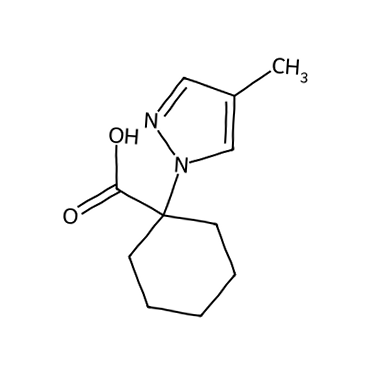 Cc1cnn(C2(C(=O)O)CCCCC2)c1